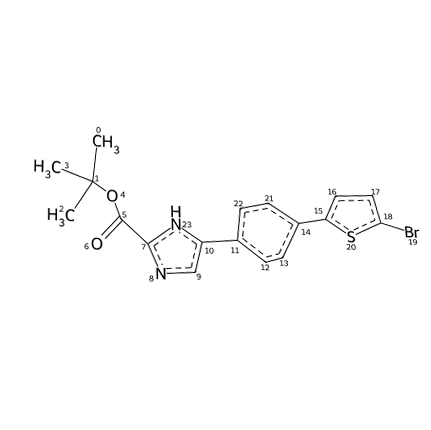 CC(C)(C)OC(=O)c1ncc(-c2ccc(-c3ccc(Br)s3)cc2)[nH]1